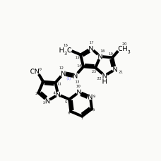 [C-]#[N+]c1cnn(-c2cccnn2)c1/N=N/c1c(C)nn2c(C)n[nH]c12